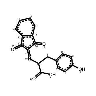 O=C(O)C(Cc1ccc(O)cc1)N=c1c(=O)c2ccccc2c1=O